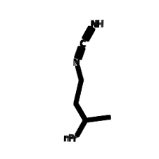 CCCC(C)CCN=C=N